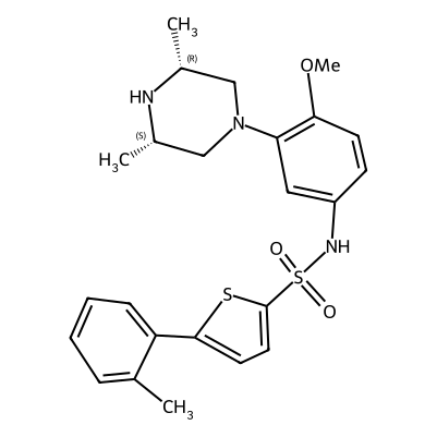 COc1ccc(NS(=O)(=O)c2ccc(-c3ccccc3C)s2)cc1N1C[C@@H](C)N[C@@H](C)C1